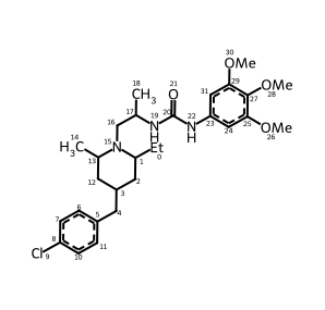 CCC1CC(Cc2ccc(Cl)cc2)CC(C)N1CC(C)NC(=O)Nc1cc(OC)c(OC)c(OC)c1